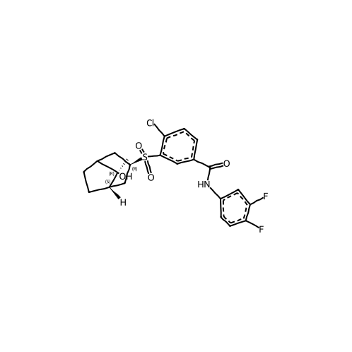 C[C@@]1(O)C2CC[C@H]1C[C@H](S(=O)(=O)c1cc(C(=O)Nc3ccc(F)c(F)c3)ccc1Cl)C2